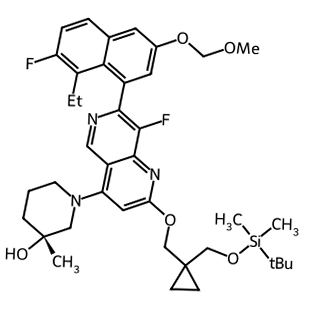 CCc1c(F)ccc2cc(OCOC)cc(-c3ncc4c(N5CCC[C@@](C)(O)C5)cc(OCC5(CO[Si](C)(C)C(C)(C)C)CC5)nc4c3F)c12